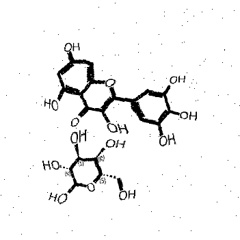 O=c1c(O)c(-c2cc(O)c(O)c(O)c2)oc2cc(O)cc(O)c12.OC[C@@H]1OC(O)[C@H](O)[C@@H](O)[C@H]1O